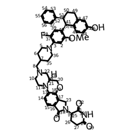 COc1cc(N2CCC(CN3CCN4c5ccc6c(c5OC[C@@H]4C3)CN([C@@H]3CCC(=O)NC3=O)C6=O)CC2)c(F)cc1[C@@H]1c2ccc(O)cc2CC[C@@H]1c1ccccc1